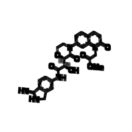 COC(=O)Cn1c(=O)ccc2ccc(N3CCO[C@H]([C@@H](O)C(=O)Nc4ccc5c(c4)CNC5=N)C3=O)cc21